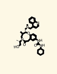 CC1CN([C@@H](C)CO)C(=O)Cc2cc(NC(=O)NC3CCCCC3)ccc2O[C@H]1CN(C)Cc1ccnc2ccccc12